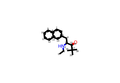 CCNC(Cc1ccc2ccccc2c1)C(=O)C(C)(C)C